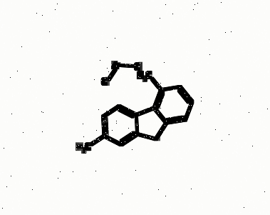 Cc1ccc2c(c1)[CH]c1cccc(C)c1-2.[Cl][Zr][Cl]